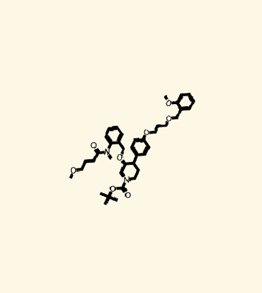 COCCCC(=O)N(C)c1ccccc1COC1CN(C(=O)OC(C)(C)C)CCC1c1ccc(OCCCOCc2ccccc2OC)cc1